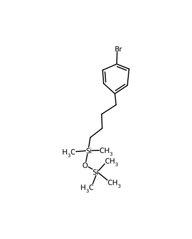 C[Si](C)(C)O[Si](C)(C)CCCCc1ccc(Br)cc1